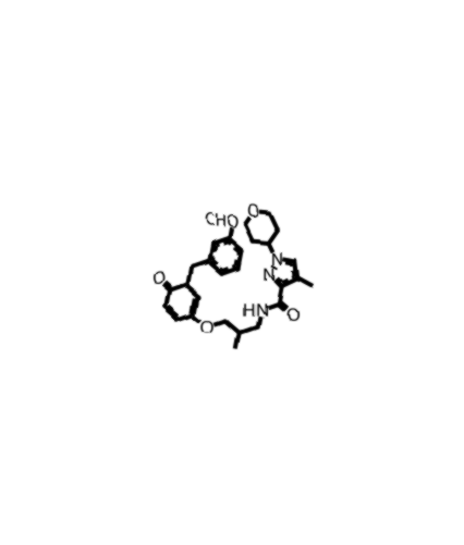 Cc1cn(C2CCOCC2)nc1C(=O)NCC(C)COC1=CC(Cc2cccc(C=O)c2)C(=O)C=C1